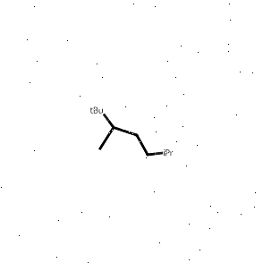 C[C](CCC(C)C)C(C)(C)C